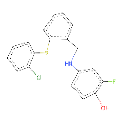 Oc1ccc(NCc2ccccc2Sc2ccccc2Cl)cc1F